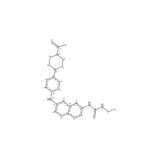 CCNC(=O)Nc1ccc2cnc(Nc3ccc(N4CCN(C(C)=O)CC4)cc3)nc2n1